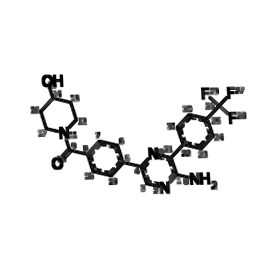 Nc1ncc(-c2ccc(C(=O)N3CCC(O)CC3)cc2)nc1-c1ccc(C(F)(F)F)cc1